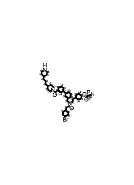 O=C(Cc1ccc(Br)cc1)N(CCc1ccc(OC(=O)C(F)(F)F)cc1)Cc1cccc(-c2cccc(C(=O)N3CCC(CCCC4CCNCC4)CC3)c2)c1